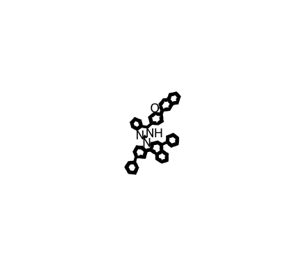 c1ccc(-c2ccc3c(c2)c2c4ccccc4c(-c4ccccc4)cc2n3C2=Nc3ccccc3C(c3ccc4c(c3)oc3cc5ccccc5cc34)N2)cc1